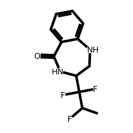 CC(F)C(F)(F)C1CNc2ccccc2C(=O)N1